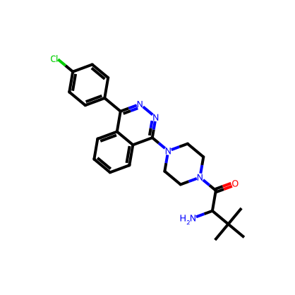 CC(C)(C)C(N)C(=O)N1CCN(c2nnc(-c3ccc(Cl)cc3)c3ccccc23)CC1